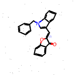 O=C1/C(=C/c2cn(Cc3ccccc3)c3ccccc23)Oc2ccccc21